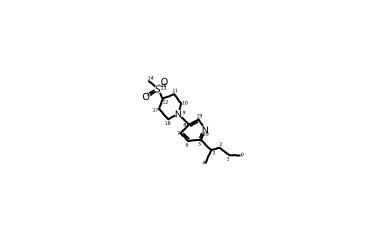 CCCC(C)c1ccc(N2CCC(S(C)(=O)=O)CC2)cn1